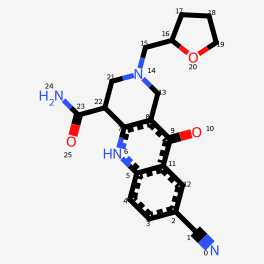 N#Cc1ccc2[nH]c3c(c(=O)c2c1)CN(CC1CCCO1)CC3C(N)=O